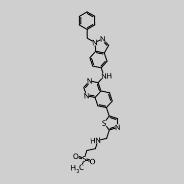 CS(=O)(=O)CCNCc1ncc(-c2ccc3c(Nc4ccc5c(cnn5Cc5ccccc5)c4)ncnc3c2)s1